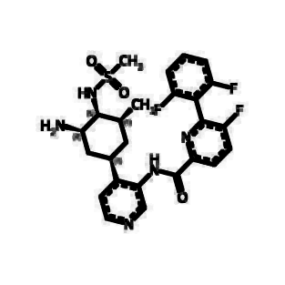 C[C@H]1C[C@@H](c2ccncc2NC(=O)c2ccc(F)c(-c3c(F)cccc3F)n2)C[C@@H](N)[C@H]1NS(C)(=O)=O